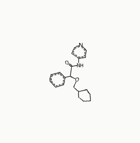 O=C(Nc1ccncc1)C(OCC1CCCCC1)c1ccccc1